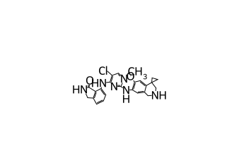 COc1cc2c(cc1Nc1ncc(Cl)c(Nc3cccc4c3C(=O)NC4)n1)CNCC21CC1